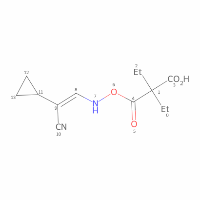 CCC(CC)(C(=O)O)C(=O)ONC=C(C#N)C1CC1